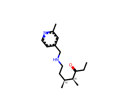 CCC(=O)[C@@H](C)[C@@H](C)CCNCc1ccnc(C)c1